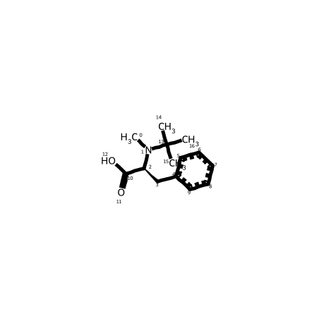 CN([C@@H](Cc1ccccc1)C(=O)O)C(C)(C)C